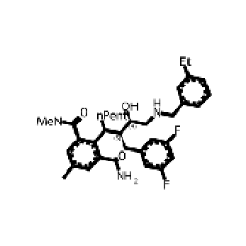 CCCCCC(c1c(C(N)=O)cc(C)cc1C(=O)NC)[C@H](Cc1cc(F)cc(F)c1)[C@@H](O)CNCc1cccc(CC)c1